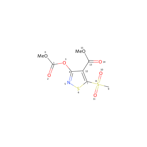 COC(=O)Oc1nsc(S(C)(=O)=O)c1C(=O)OC